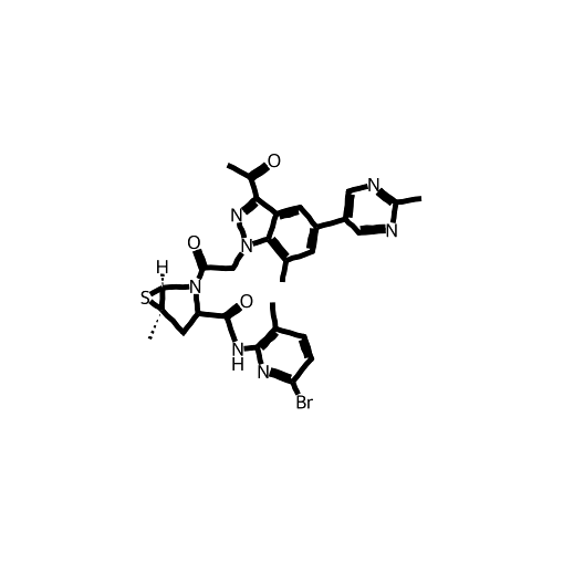 CC(=O)c1nn(CC(=O)N2C(C(=O)Nc3nc(Br)ccc3C)C[C@@]3(C)S[C@@H]23)c2c(C)cc(-c3cnc(C)nc3)cc12